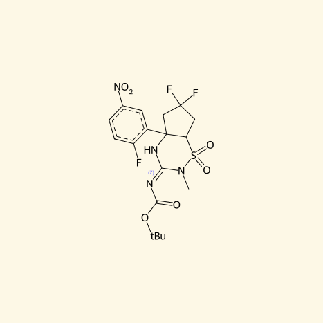 CN1/C(=N\C(=O)OC(C)(C)C)NC2(c3cc([N+](=O)[O-])ccc3F)CC(F)(F)CC2S1(=O)=O